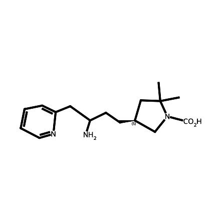 CC1(C)C[C@H](CCC(N)Cc2ccccn2)CN1C(=O)O